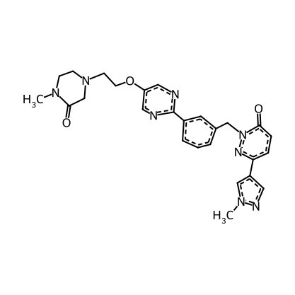 CN1CCN(CCOc2cnc(-c3cccc(Cn4nc(-c5cnn(C)c5)ccc4=O)c3)nc2)CC1=O